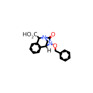 O=C(O)C1c2ccccc2[C@@H]2CN1C(=O)N2OCc1ccccc1